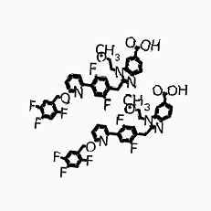 COCCn1c(Cc2cc(F)c(-c3cccc(OCc4cc(F)c(F)cc4F)n3)cc2F)nc2ccc(C(=O)O)cc21.COCCn1c(Cc2cc(F)c(-c3cccc(OCc4cc(F)c(F)cc4F)n3)cc2F)nc2ccc(C(=O)O)cc21